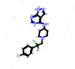 FC(F)(CN1CCC(Nc2ncnc3[nH]ncc23)CC1)c1ccc(Cl)cc1